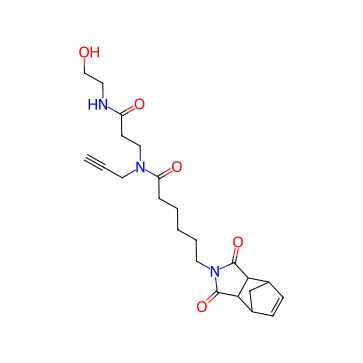 C#CCN(CCC(=O)NCCO)C(=O)CCCCCN1C(=O)C2C3C=CC(C3)C2C1=O